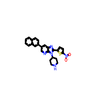 O=[N+]([O-])c1ccc(-c2nc3cc(-c4ccc5ccccc5c4)cnc3n2C2CCNCC2)s1